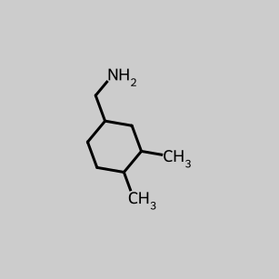 CC1CCC(CN)CC1C